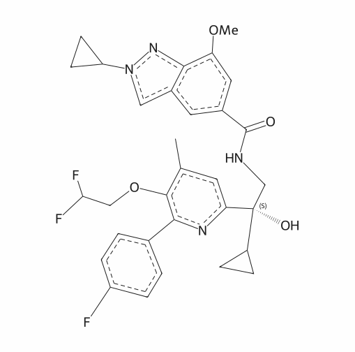 COc1cc(C(=O)NC[C@](O)(c2cc(C)c(OCC(F)F)c(-c3ccc(F)cc3)n2)C2CC2)cc2cn(C3CC3)nc12